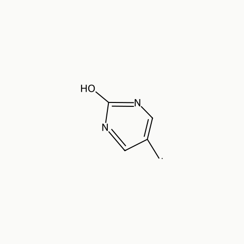 [CH2]c1cnc(O)nc1